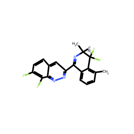 Cc1cccc2c1C(F)(F)C(C)(C)N=C2c1cc2ccc(F)c(F)c2nn1